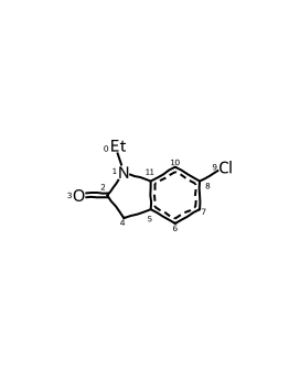 CCN1C(=O)Cc2ccc(Cl)cc21